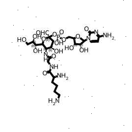 NCCCCC(N)C(=O)NCC(=O)N[C@H]1C([C@H](O)[C@H](O)CO)O[C@@](C=O)(OP(=O)(O)OCC2OC(n3ccc(N)nc3=O)[C@H](O)[C@@H]2O)C[C@H]1O